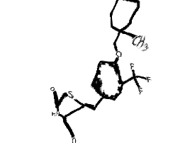 CC1(COc2ccc(/C=C3\SC(=O)NC3=O)cc2C(F)(F)F)CCCCC1